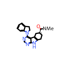 CNC(=O)[C@H]1CCc2[nH]c3ncnc(N4CCc5ccccc54)c3c2C1